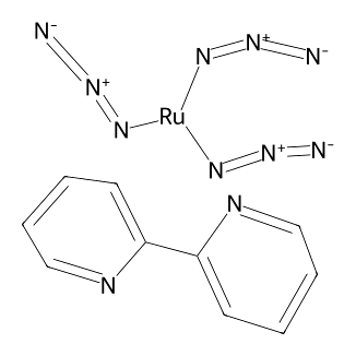 [N-]=[N+]=[N][Ru]([N]=[N+]=[N-])[N]=[N+]=[N-].c1ccc(-c2ccccn2)nc1